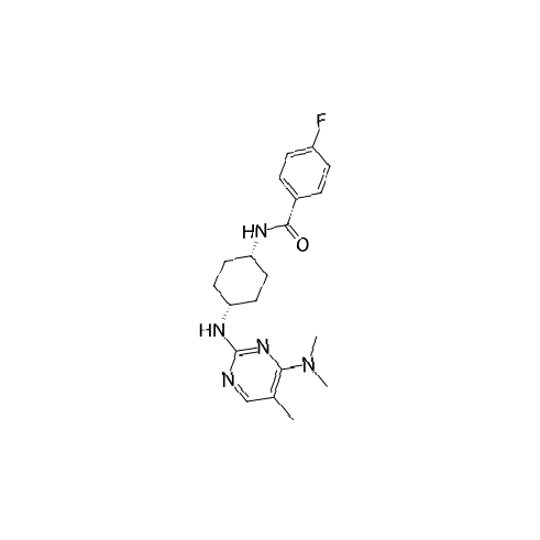 Cc1cnc(N[C@H]2CC[C@@H](NC(=O)c3ccc(F)cc3)CC2)nc1N(C)C